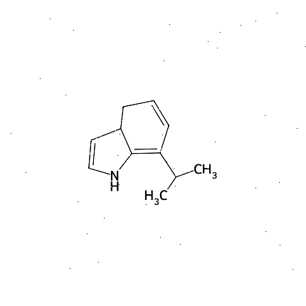 CC(C)C1=C2NC=CC2CC=C1